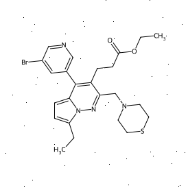 CCOC(=O)CCc1c(CN2CCSCC2)nn2c(CC)ccc2c1-c1cncc(Br)c1